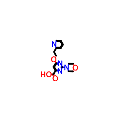 O=C(O)c1cc(OCCc2ccccn2)nc(N2CCOCC2)n1